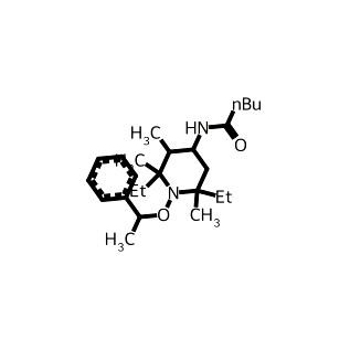 CCCCC(=O)NC1CC(C)(CC)N(OC(C)c2ccccc2)C(C)(CC)C1C